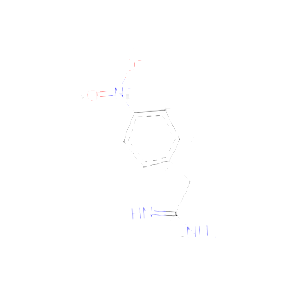 N=C(N)Cc1ccc([N+](=O)[O-])cc1